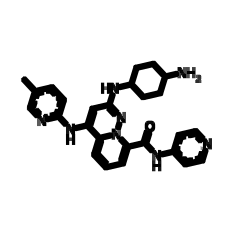 Cc1ccc(NC2=CC(NC3CCC(N)CC3)=NN3C2=C=CC=C3C(=O)Nc2ccncc2)nc1